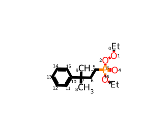 CCOOP(=O)(CCC(C)(C)c1ccccc1)OCC